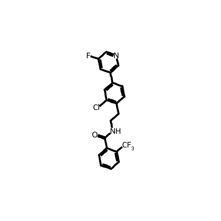 O=C(NCCc1ccc(-c2cncc(F)c2)cc1Cl)c1ccccc1C(F)(F)F